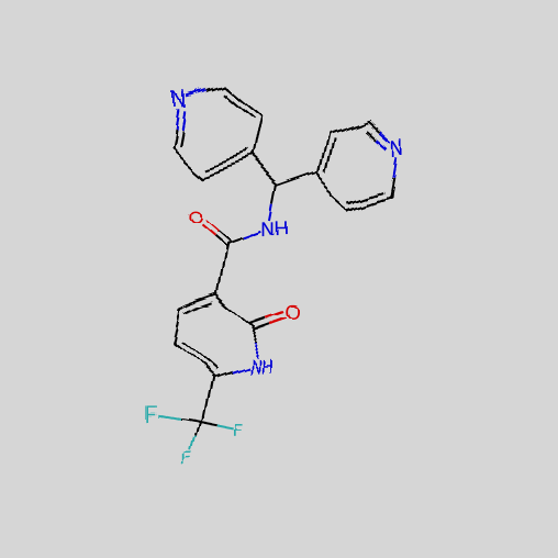 O=C(NC(c1ccncc1)c1ccncc1)c1ccc(C(F)(F)F)[nH]c1=O